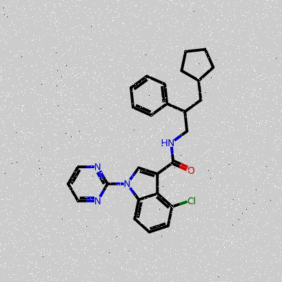 O=C(NCC(CC1CCCC1)c1ccccc1)c1cn(-c2ncccn2)c2cccc(Cl)c12